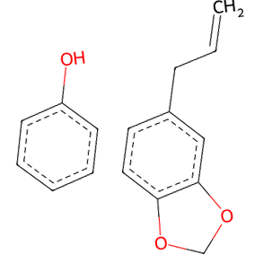 C=CCc1ccc2c(c1)OCO2.Oc1ccccc1